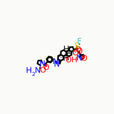 C[C@]12Cc3cnn(-c4cccc(C(=O)N5CCC[C@@H]5C(N)=O)c4)c3C=C1CC[C@@H]1[C@@H]2[C@@H](O)C[C@@]2(C)[C@H]1CC[C@]2(OC(=O)c1cocn1)C(=O)SCF